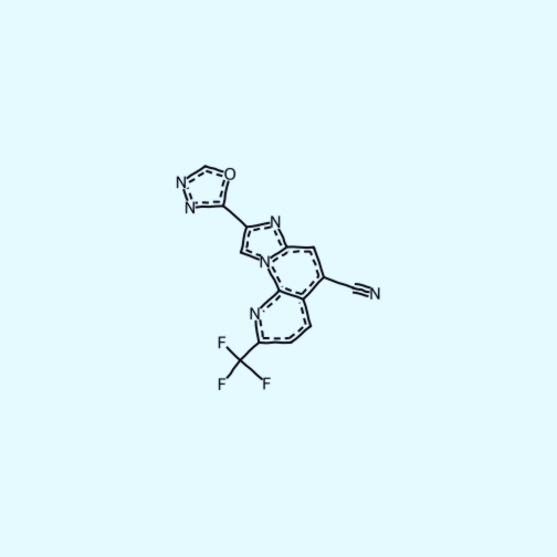 N#Cc1cc2nc(-c3nnco3)cn2c2nc(C(F)(F)F)ccc12